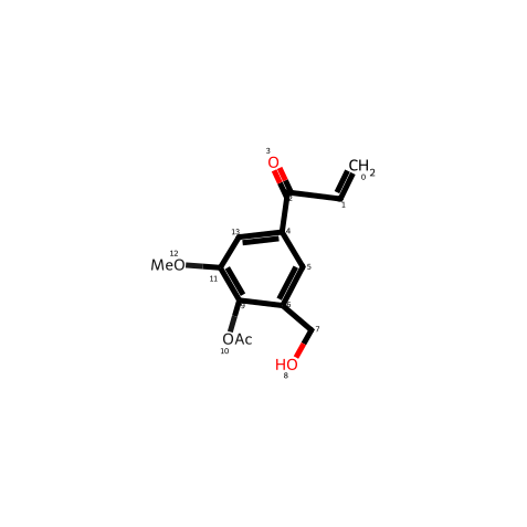 C=CC(=O)c1cc(CO)c(OC(C)=O)c(OC)c1